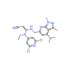 CCN(/C(=C\C#N)NCc1cc(C(C)C)c2c(C)nn(C)c2n1)c1cc(Cl)nc(Cl)c1